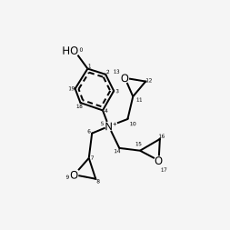 Oc1ccc([N+](CC2CO2)(CC2CO2)CC2CO2)cc1